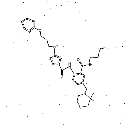 COCCNC(=O)c1cc(CN2CCOCC2(C)C)ccc1NC(=O)c1csc(N(C)CCCOc2ncccn2)n1